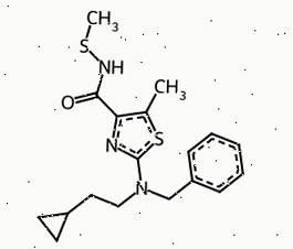 CSNC(=O)c1nc(N(CCC2CC2)Cc2ccccc2)sc1C